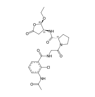 CCO[C@@H]1OC(=O)C[C@@H]1NC(=O)[C@@H]1CCCN1C(=O)CNC(=O)c1cccc(NC(C)=O)c1Cl